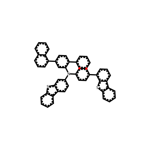 c1ccc(-c2ccc(-c3cccc4ccccc34)cc2N(c2ccc(-c3cccc4c3sc3ccccc34)cc2)c2ccc3c(c2)sc2ccccc23)cc1